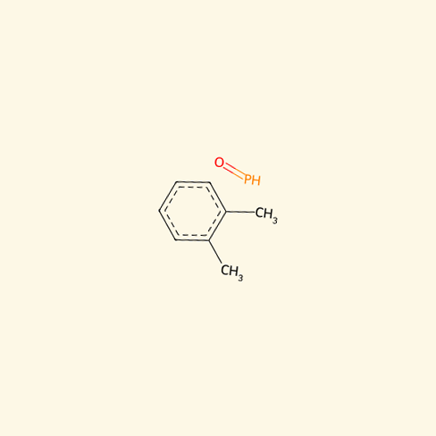 Cc1ccccc1C.O=P